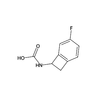 O=C(O)NC1Cc2ccc(F)cc21